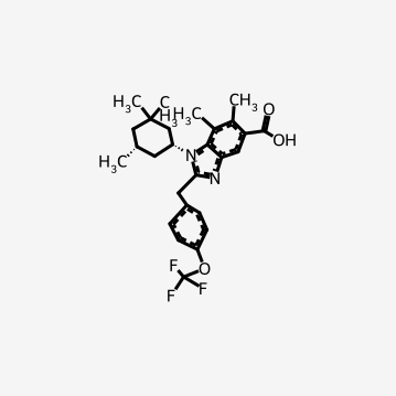 Cc1c(C(=O)O)cc2nc(Cc3ccc(OC(F)(F)F)cc3)n([C@@H]3C[C@H](C)CC(C)(C)C3)c2c1C